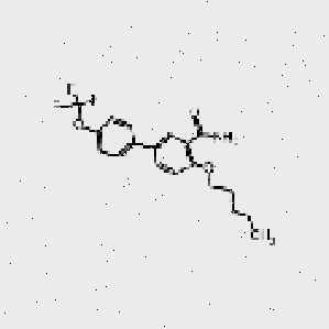 CCCCCOc1ccc(-c2ccc(OC(F)(F)F)cc2)cc1C(N)=O